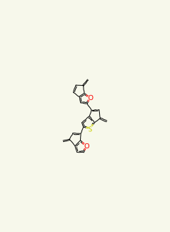 C=C1C=C(c2cc3c(s2)C(=C)C=C3c2cc3c(o2)C(=C)C=C3)c2occc21